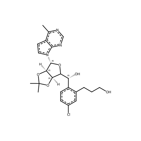 Cc1ncnc2c1ccn2[C@@H]1OC([C@H](O)c2ccc(Cl)cc2CCCO)[C@H]2OC(C)(C)O[C@H]21